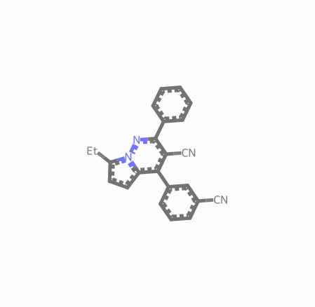 CCc1ccc2c(-c3cccc(C#N)c3)c(C#N)c(-c3ccccc3)nn12